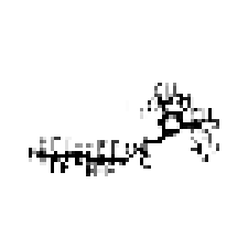 CC(C)(C)c1cc(CCC(=O)OCC(F)(F)C(F)(F)C(F)(F)C(F)(F)C(F)(F)C(F)(F)C(F)(F)F)cc(C(C)(C)C)c1O